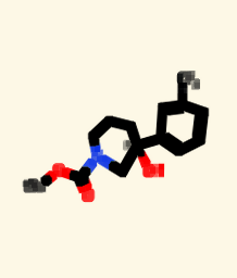 CC(C)(C)OC(=O)N1CCC[C@](O)(c2cccc(C(F)(F)F)c2)C1